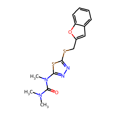 CN(C)C(=O)N(C)c1nnc(SCc2cc3ccccc3o2)s1